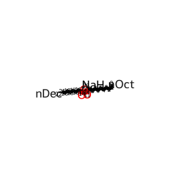 CCCCCCCC/C=C\CCCCCCCC(=O)OC(=O)CCCCCCCCCCCCCCCCC.[NaH]